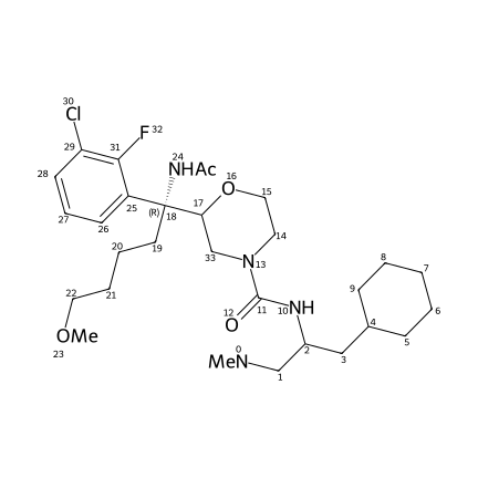 CNCC(CC1CCCCC1)NC(=O)N1CCOC([C@](CCCCOC)(NC(C)=O)c2cccc(Cl)c2F)C1